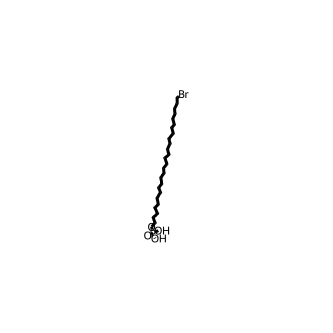 O=P(O)(O)OCCCCCCCCCCCCCCCCCCCCCCCCCCBr